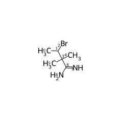 CC(Br)C(C)(C)C(=N)N